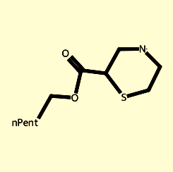 CCCCCCOC(=O)C1C[N]CCS1